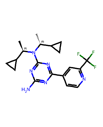 C[C@H](C1CC1)N(c1nc(N)nc(-c2ccnc(C(F)(F)F)c2)n1)[C@H](C)C1CC1